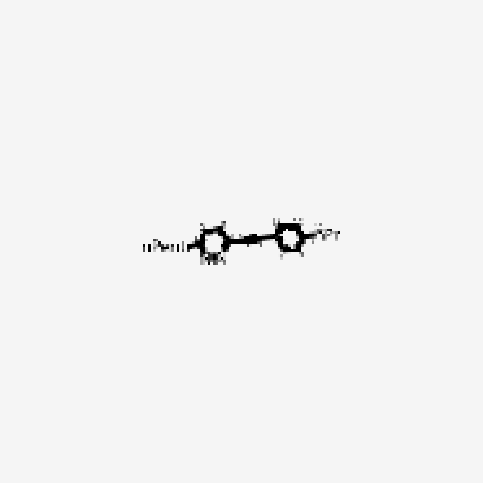 CCCCCc1ccc(C#Cc2ccc(CCC)cc2)nn1